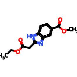 CCOC(=O)Cc1nc2cc(C(=O)OC)ccc2[nH]1